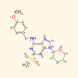 COc1ccc(CNc2nc(S(C)(=O)=O)nc3c2ncn3C2CCCCO2)cc1